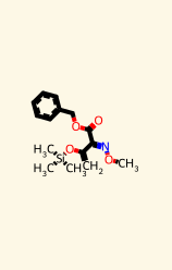 C=C(O[Si](C)(C)C)/C(=N\OC)C(=O)OCc1ccccc1